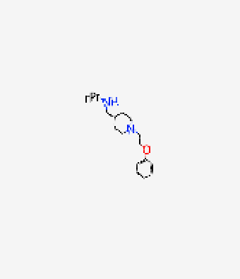 CCCNCC1CCN(CCOc2ccccc2)CC1